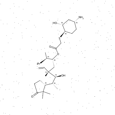 C=C[C@](C)(C[C@@H](OC(=O)CS[C@@H]1CC[C@@H](N)C[C@H]1O)[C@H](C)C(C)C)[C@@H](O)[C@H](C)[C@H]1CCC(=O)C1(C)C